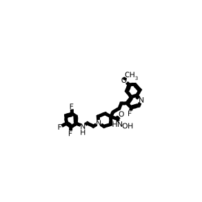 COc1ccc2ncc(F)c(CCCC3(C(=O)NO)CCN(CCNc4cc(F)cc(F)c4F)CC3)c2c1